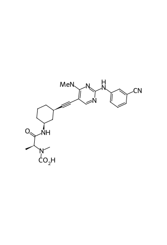 CNc1nc(Nc2cccc(C#N)c2)ncc1C#C[C@@H]1CCC[C@H](NC(=O)[C@H](C)N(C)C(=O)O)C1